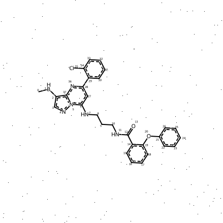 CBc1cnn2c(NCCCNC(=O)c3ccccc3Oc3ccccc3)cc(-c3ccccc3Cl)nc12